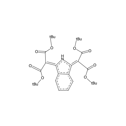 CC(C)(C)OC(=O)C(C(=O)OC(C)(C)C)=c1[nH]c(=C(C(=O)OC(C)(C)C)C(=O)OC(C)(C)C)c2ccccc12